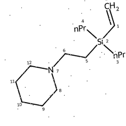 C=C[Si](CCC)(CCC)CCN1CCCCC1